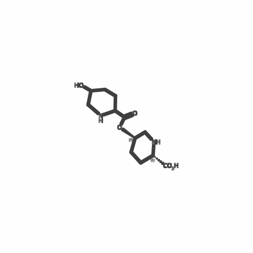 O=C(O[C@@H]1CC[C@@H](C(=O)O)NC1)C1CCC(O)CN1